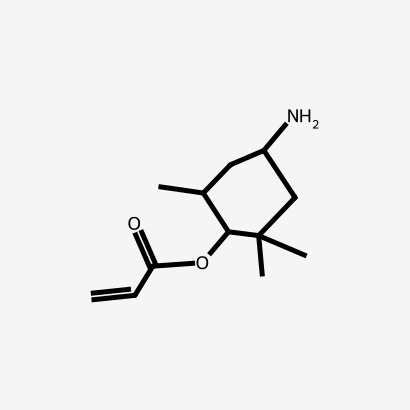 C=CC(=O)OC1C(C)CC(N)CC1(C)C